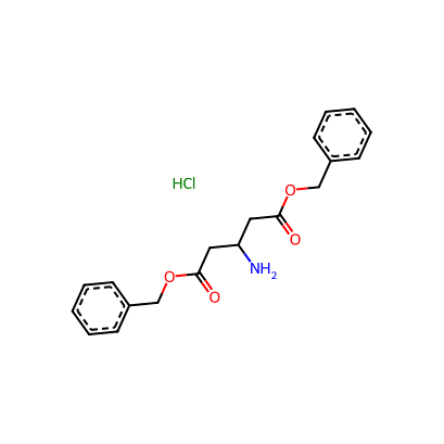 Cl.NC(CC(=O)OCc1ccccc1)CC(=O)OCc1ccccc1